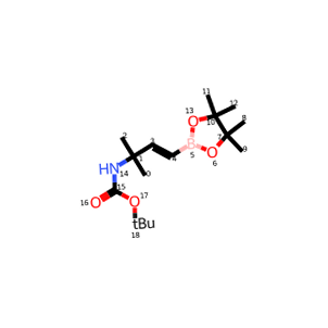 CC(C)(C=CB1OC(C)(C)C(C)(C)O1)NC(=O)OC(C)(C)C